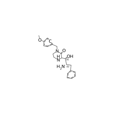 COc1ccc(CN2CCNC([C@@H](O)[C@@H](N)Cc3ccccc3)C2=O)cc1